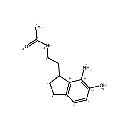 CCCC(=O)NCCC1CCc2ccc(O)c(N)c21